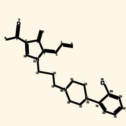 C=C/C=c1\c(=C)c(C(C)=O)cn1CCCN1CCN(c2ccccc2Cl)CC1